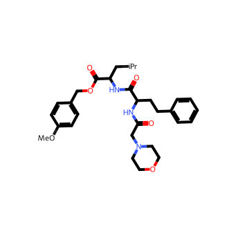 COc1ccc(COC(=O)C(CC(C)C)NC(=O)C(CCc2ccccc2)NC(=O)CN2CCOCC2)cc1